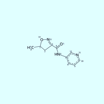 CC1CC(C(=O)Nc2cccnc2)=NO1